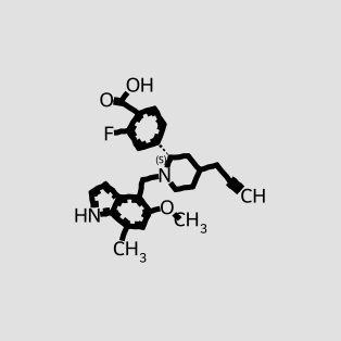 C#CCC1CCN(Cc2c(OC)cc(C)c3[nH]ccc23)[C@H](c2ccc(C(=O)O)c(F)c2)C1